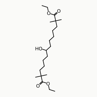 CCOC(=O)C(C)(C)CCCCCC(O)CCCCC(C)(C)C(=O)OCC